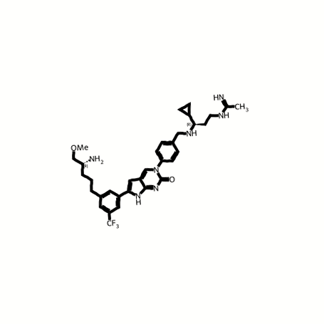 COC[C@H](N)CCCc1cc(-c2cc3cn(-c4ccc(CN[C@H](CCNC(C)=N)C5CC5)cc4)c(=O)nc3[nH]2)cc(C(F)(F)F)c1